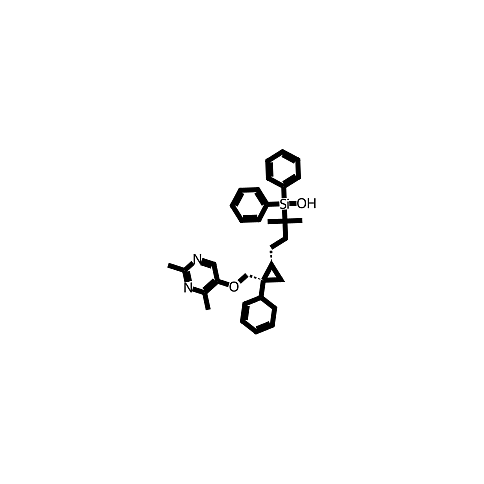 Cc1ncc(OC[C@@]2(C3C=CC=CC3)C[C@H]2CCC(C)(C)[Si](O)(c2ccccc2)c2ccccc2)c(C)n1